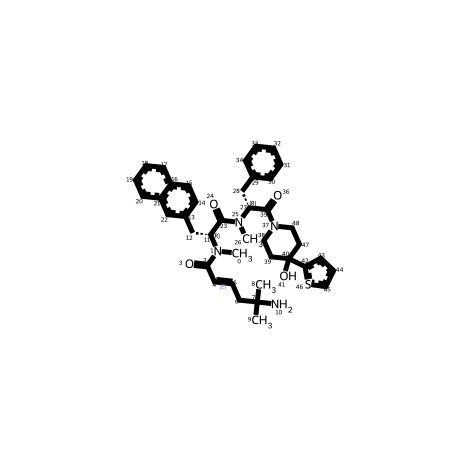 CN(C(=O)/C=C/CC(C)(C)N)[C@H](Cc1ccc2ccccc2c1)C(=O)N(C)[C@H](Cc1ccccc1)C(=O)N1CCC(O)(c2cccs2)CC1